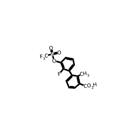 Cc1c(C(=O)O)cccc1-c1cccc(OS(=O)(=O)C(F)(F)F)c1F